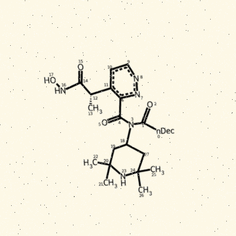 CCCCCCCCCCC(=O)N(C(=O)c1nnccc1[C@H](C)C(=O)NO)C1CC(C)(C)NC(C)(C)C1